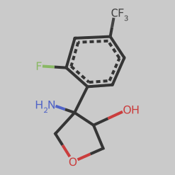 NC1(c2ccc(C(F)(F)F)cc2F)COCC1O